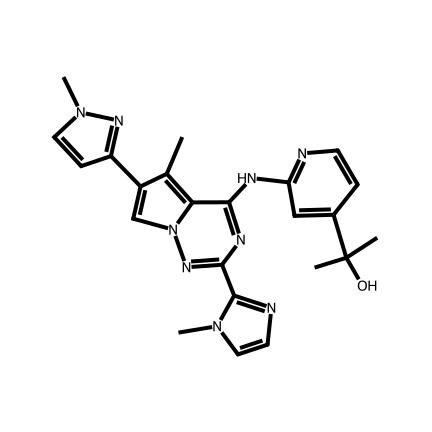 Cc1c(-c2ccn(C)n2)cn2nc(-c3nccn3C)nc(Nc3cc(C(C)(C)O)ccn3)c12